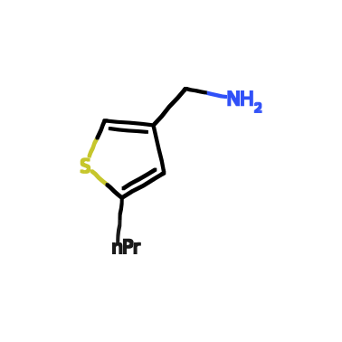 CCCc1cc(CN)cs1